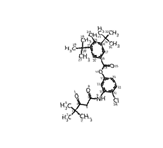 CC(C)(C)C(=O)CC(=O)Nc1cc(OC(=O)c2cc(C(C)(C)C)c(O)c(C(C)(C)C)c2)ccc1Cl